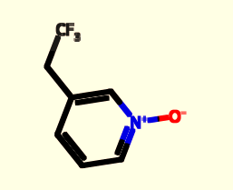 [O-][n+]1cccc(CC(F)(F)F)c1